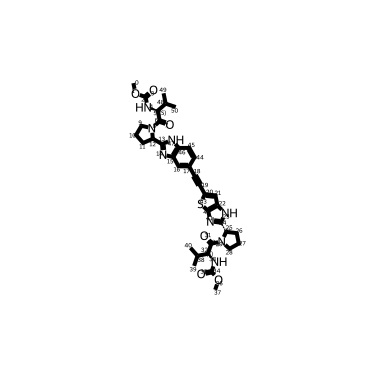 COC(=O)N[C@H](C(=O)N1CCCC1c1nc2cc(C#Cc3cc4[nH]c([C@@H]5CCCN5C(=O)[C@@H](NC(=O)OC)C(C)C)nc4s3)ccc2[nH]1)C(C)C